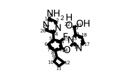 Nc1cnc(-c2ccc(C3CCC3)c(Oc3nccc(C(O)O)n3)c2F)cn1